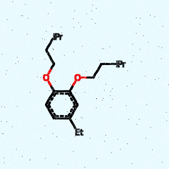 [CH2]Cc1ccc(OCCC(C)C)c(OCCC(C)C)c1